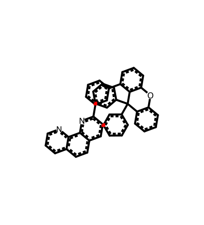 c1ccc(C2(c3ccccc3)c3ccccc3Oc3cccc(-c4cccc(-c5ccc6ccc7cccnc7c6n5)c4)c32)cc1